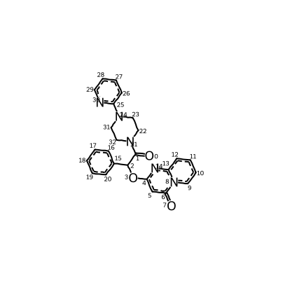 O=C(C(Oc1cc(=O)n2ccccc2n1)c1ccccc1)N1CCN(c2ccccn2)CC1